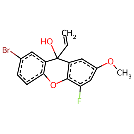 C=CC1(O)c2cc(Br)ccc2Oc2c(F)cc(OC)cc21